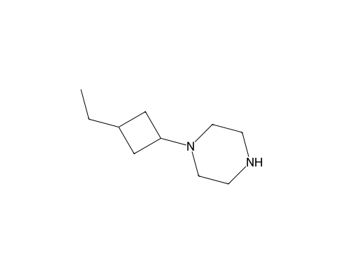 CCC1CC(N2CCNCC2)C1